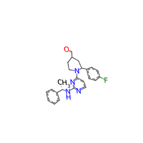 C[C@H](Nc1nccc(N2CCC(C=O)CC2c2ccc(F)cc2)n1)c1ccccc1